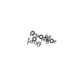 O=C(NS(=O)(=O)c1ccc(F)cc1F)c1ccc(N(Cc2cccnc2)c2ccc(OC(F)F)c(OC3CCCO3)c2)cc1